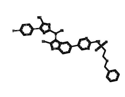 CCc1nc2ccc(-c3cnc(NS(=O)(=O)CCOCc4ccccc4)nc3)cn2c1N(CC)c1nc(-c2ccc(F)cc2)c(C#N)s1